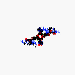 CC(C)[C@H](N)C(=O)N[C@@H](CCCNC(N)=O)C(=O)Nc1ccc(CSP2(=O)OC[C@H]3O[C@@H](n4cnc5c(O)ncnc54)[C@H](F)[C@@H]3OP(=O)(SCc3ccc(NC(=O)[C@H](CCCNC(N)=O)NC(=O)[C@@H](N)C(C)C)cc3)OC[C@H]3O[C@@H](n4cnc5c(N)ncnc54)[C@H](F)[C@@H]3O2)cc1